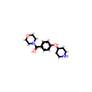 O=C(c1ccc(OC2CCNCC2)cc1)N1CCOCC1